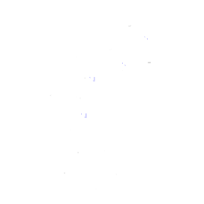 CCC(ONC(=O)NCC1CCCCC1)c1c[nH]cn1